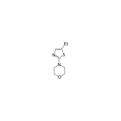 CCc1cnc(N2CCOCC2)s1